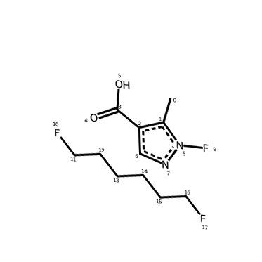 Cc1c(C(=O)O)cnn1F.FCCCCCCF